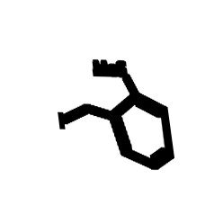 CSc1ccccc1CI